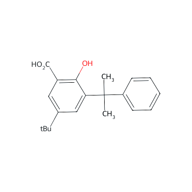 CC(C)(C)c1cc(C(=O)O)c(O)c(C(C)(C)c2ccccc2)c1